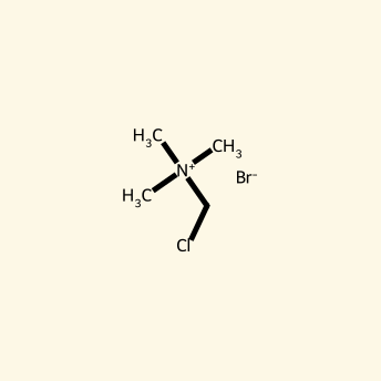 C[N+](C)(C)CCl.[Br-]